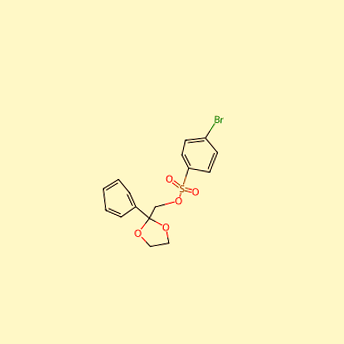 O=S(=O)(OCC1(c2ccccc2)OCCO1)c1ccc(Br)cc1